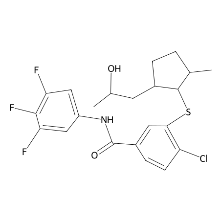 CC(O)CC1CCC(C)C1Sc1cc(C(=O)Nc2cc(F)c(F)c(F)c2)ccc1Cl